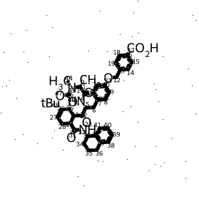 C[C@@H](C(=O)NC(Cc1ccc(OCc2ccc(C(=O)O)cc2)cc1)C(=O)C1CC=CCC1C(=O)NC1CCCc2ccccc21)N(C)C(=O)OC(C)(C)C